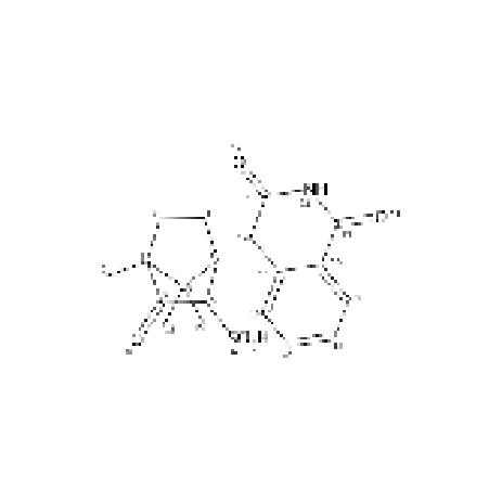 CC12CCC(C(S(=O)(=O)O)C1=O)C2(C)C.O=C1Cc2ccccc2C(=O)N1